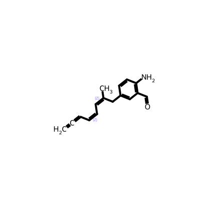 C=C=C/C=C\C=C(\C)Cc1ccc(N)c(C=O)c1